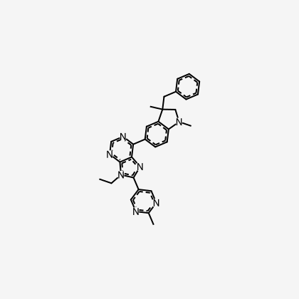 CCn1c(-c2cnc(C)nc2)nc2c(-c3ccc4c(c3)C(C)(Cc3ccccc3)CN4C)ncnc21